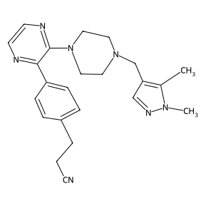 Cc1c(CN2CCN(c3nccnc3-c3ccc(CCC#N)cc3)CC2)cnn1C